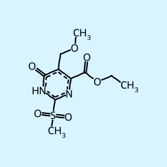 CCOC(=O)c1nc(S(C)(=O)=O)[nH]c(=O)c1COC